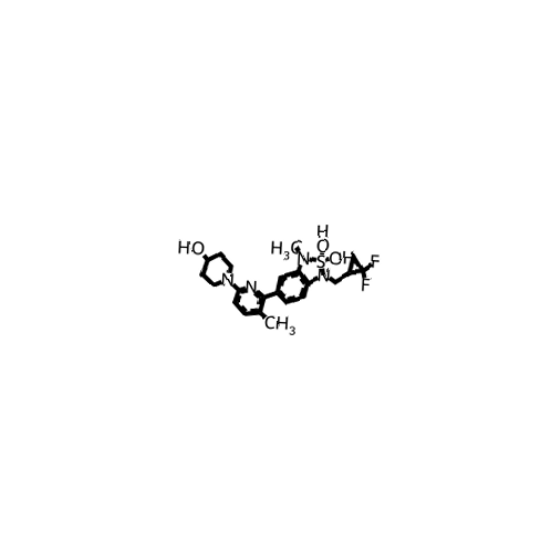 Cc1ccc(N2CCC(O)CC2)nc1-c1ccc2c(c1)N(C)S(O)(O)N2CC1CC1(F)F